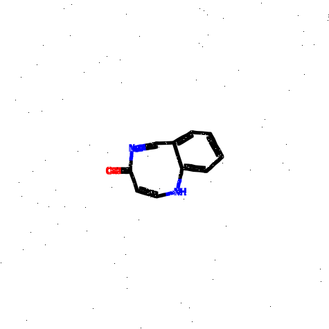 O=C1/C=C\Nc2ccccc2/C=N\1